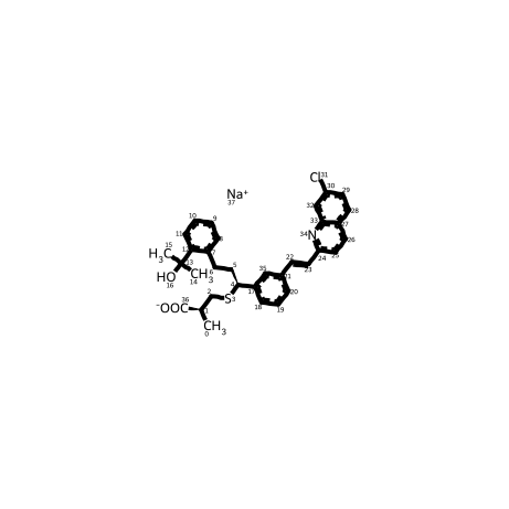 C[C@H](CS[C@@H](CCc1ccccc1C(C)(C)O)c1cccc(C=Cc2ccc3ccc(Cl)cc3n2)c1)C(=O)[O-].[Na+]